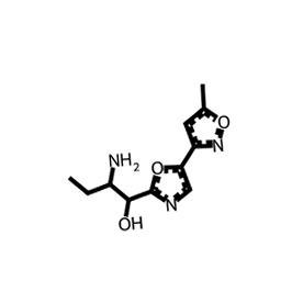 CCC(N)C(O)c1ncc(-c2cc(C)on2)o1